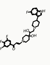 O=C(C=CN1CCC(O)(C(O)CN2CCC(c3c[nH]c4ccc(F)cc34)CC2)CC1)c1cc(F)c(F)c(F)c1